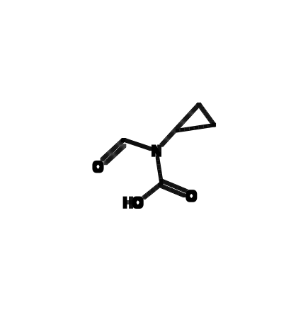 O=CN(C(=O)O)C1CC1